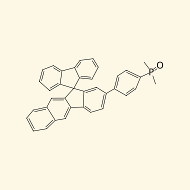 CP(C)(=O)c1ccc(-c2ccc3c(c2)C2(c4ccccc4-c4ccccc42)c2cc4ccccc4cc2-3)cc1